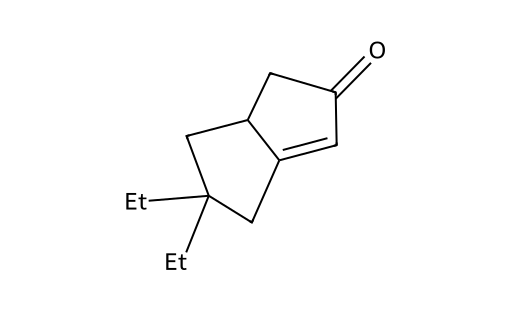 CCC1(CC)CC2=CC(=O)CC2C1